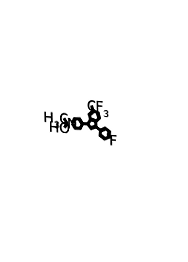 CC(O)N1CC=C(C2C=C(c3ccc(F)cc3)c3ccc(C(F)(F)F)cc32)CC1